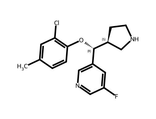 Cc1ccc(O[C@@H](c2cncc(F)c2)[C@H]2CCNC2)c(Cl)c1